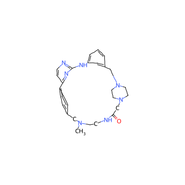 CN1CCNC(=O)CN2CCN(CC2)Cc2cccc(c2)Nc2nccc(n2)-c2ccc(cc2)C1